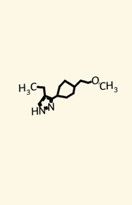 CCc1c[nH]nc1C1CCC(CCOC)CC1